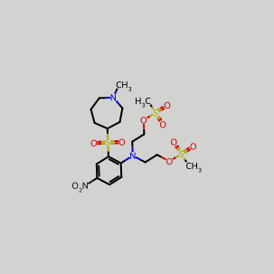 CN1CCCC(S(=O)(=O)c2cc([N+](=O)[O-])ccc2N(CCOS(C)(=O)=O)CCOS(C)(=O)=O)CC1